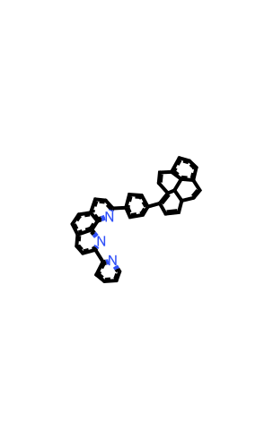 C1=CC2C=Cc3cccc4c3C2C(=C1c1ccc(-c2ccc3ccc5ccc(-c6ccccn6)nc5c3n2)cc1)C=C4